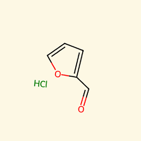 Cl.O=Cc1ccco1